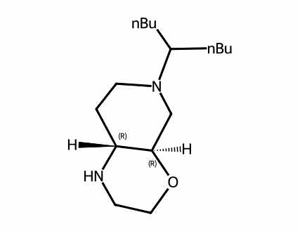 CCCCC(CCCC)N1CC[C@H]2NCCO[C@@H]2C1